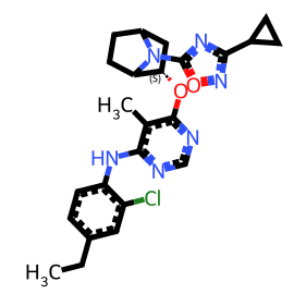 CCc1ccc(Nc2ncnc(O[C@H]3CC4CCC3N4c3nc(C4CC4)no3)c2C)c(Cl)c1